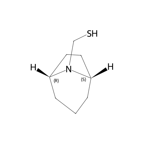 SCN1[C@@H]2CCC[C@H]1CC2